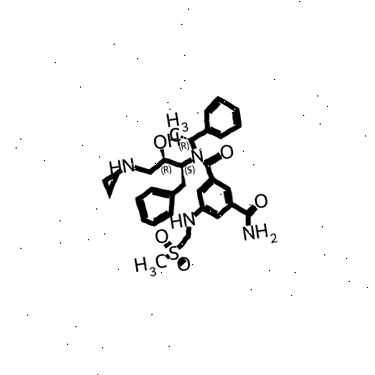 C[C@H](c1ccccc1)N(C(=O)c1cc(NCS(C)(=O)=O)cc(C(N)=O)c1)[C@@H](Cc1ccccc1)[C@H](O)CNC1CC1